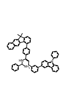 CC1(C)c2cc3ccccc3cc2-c2c(-c3ccc(/C(=C/Cc4cccc(-c5ccc6c(c5)c5ccccc5n6-c5ccccc5)c4)NC(N)c4ccccc4)cc3)cccc21